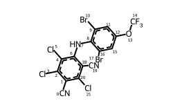 N#Cc1c(Cl)c(Cl)c(Nc2c(Br)cc(OC(F)(F)F)cc2Br)c(C#N)c1Cl